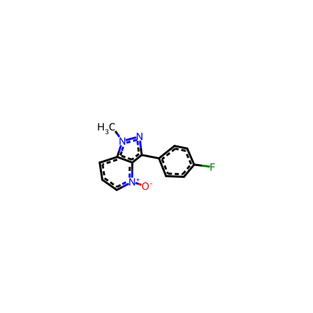 Cn1nc(-c2ccc(F)cc2)c2c1ccc[n+]2[O-]